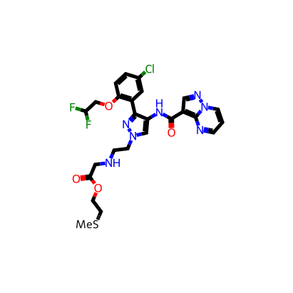 CSCCOC(=O)CNCCn1cc(NC(=O)c2cnn3cccnc23)c(-c2cc(Cl)ccc2OCC(F)F)n1